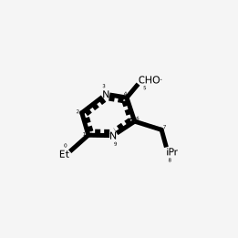 CCc1cnc([C]=O)c(CC(C)C)n1